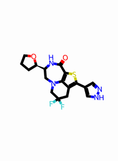 O=C1NC([C@H]2CCCO2)CN2CC(F)(F)Cc3c(-c4cn[nH]c4)sc1c32